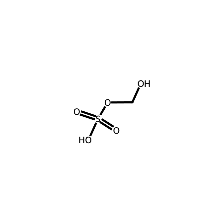 O=S(=O)(O)OCO